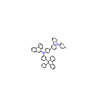 CC1C=CC(N2c3ccc(-c4ccc(N(c5cccc(-c6c(-c7ccccc7)c7ccccc7c7ccccc67)c5)c5cc6ccccc6c6ccccc56)cc4)cc3C3C=CC=CC32)=CC1